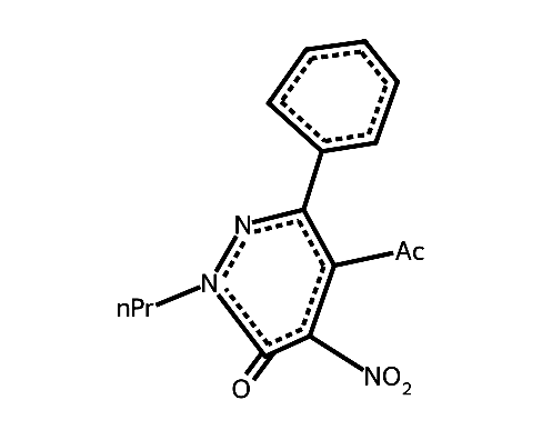 CCCn1nc(-c2ccccc2)c(C(C)=O)c([N+](=O)[O-])c1=O